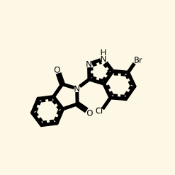 O=C1c2ccccc2C(=O)N1c1n[nH]c2c(Br)ccc(Cl)c12